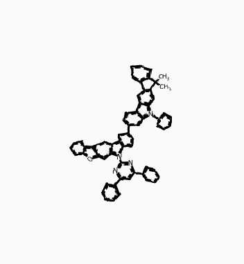 CC1(C)c2ccccc2-c2cc3c4ccc(-c5ccc6c(c5)c5cc7c(cc5n6-c5nc(-c6ccccc6)cc(-c6ccccc6)n5)oc5ccccc57)cc4n(-c4ccccc4)c3cc21